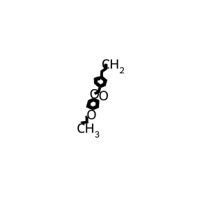 C=CCc1ccc(C(=O)Oc2ccc(OCCCC)cc2)cc1